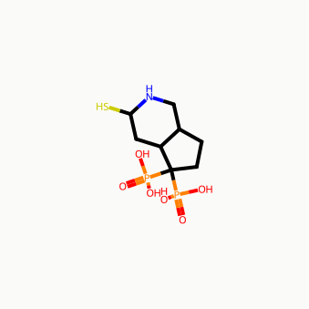 O=P(O)(O)C1(P(=O)(O)O)CCC2CNC(S)CC21